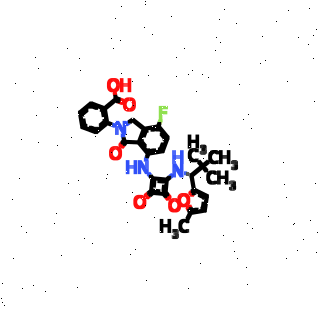 Cc1ccc([C@H](Nc2c(Nc3ccc(F)c4c3C(=O)N(c3ccccc3C(=O)O)C4)c(=O)c2=O)C(C)(C)C)o1